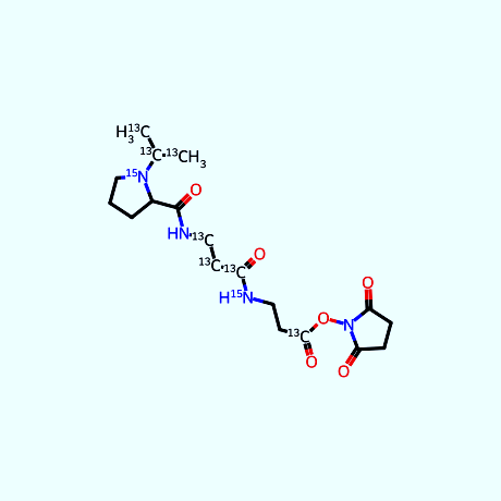 [13CH3][13CH]([13CH3])[15N]1CCCC1C(=O)N[13CH2][13CH2][13C](=O)[15NH]CC[13C](=O)ON1C(=O)CCC1=O